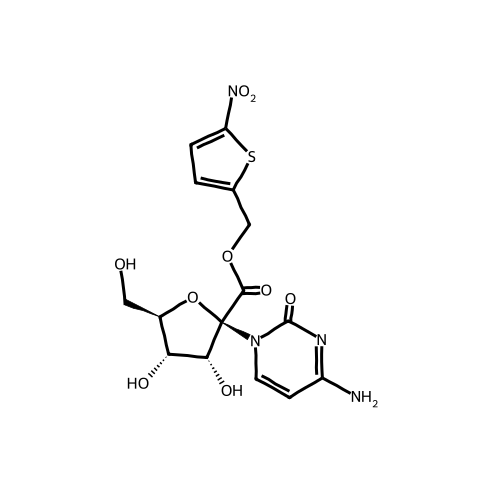 Nc1ccn([C@]2(C(=O)OCc3ccc([N+](=O)[O-])s3)O[C@H](CO)[C@@H](O)[C@H]2O)c(=O)n1